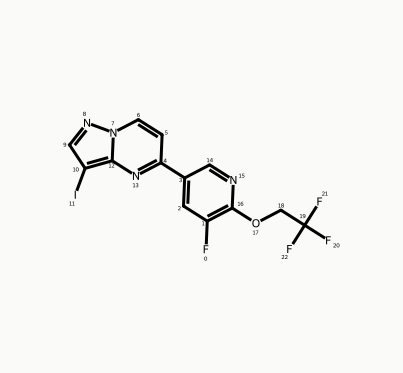 Fc1cc(-c2ccn3ncc(I)c3n2)cnc1OCC(F)(F)F